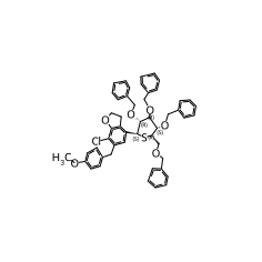 COc1ccc(Cc2cc([C@@H]3S[C@H](COCc4ccccc4)[C@@H](OCc4ccccc4)[C@H](OCc4ccccc4)[C@H]3OCc3ccccc3)c3c(c2Cl)OCC3)cc1